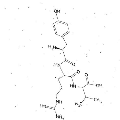 CC(C)[C@H](NC(=O)[C@H](CCCNC(=N)N)NC(=O)[C@@H](N)Cc1ccc(O)cc1)C(=O)O